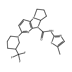 Cc1cnc(NC(=O)N2c3nc(N4CCCC(C(F)(F)F)C4)ccc3N3CCCC32)s1